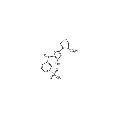 O=C(c1cccc(S(=O)(=O)C(F)(F)F)c1)c1sc(N2CCCC2C(=O)O)nc1O